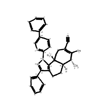 C[C@H]1C(O)=C(C#N)C[C@@]2(C)c3c(c(-c4ccccc4)nn3-c3ccc(-c4ccccc4)cn3)CC[C@H]12